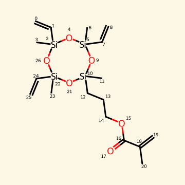 C=C[Si]1(C)O[Si](C)(C=C)O[Si](C)(CCCOC(=O)C(=C)C)O[Si](C)(C=C)O1